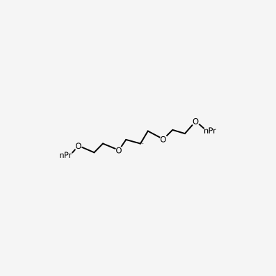 CCCOCCOC[CH]COCCOCCC